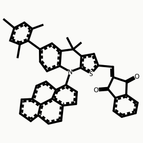 Cc1cc(C)c(-c2ccc3c(c2)C(C)(C)c2cc(C=C4C(=O)c5ccccc5C4=O)sc2N3c2ccc3ccc4cccc5ccc2c3c45)c(C)c1